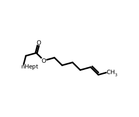 CC=CCCCCOC(=O)CCCCCCCC